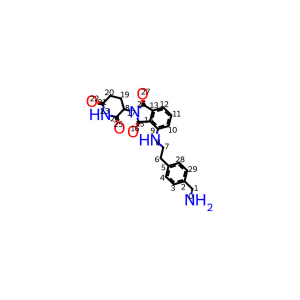 NCc1ccc(CCNc2cccc3c2C(=O)N(C2CCC(=O)NC2=O)C3=O)cc1